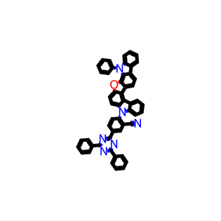 N#Cc1cc(-c2nc(-c3ccccc3)nc(-c3ccccc3)n2)ccc1-n1c2ccccc2c2c3c(ccc21)oc1c3ccc2c3ccccc3n(-c3ccccc3)c21